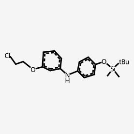 CC(C)(C)[Si](C)(C)Oc1ccc(Nc2cccc(OCCCl)c2)cc1